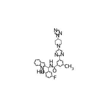 Cc1cc(C(=O)NC(c2cc3ccccc3[nH]2)c2cc(F)ccc2O)cc(-c2ncc(N3CCC(n4cncn4)CC3)cn2)c1